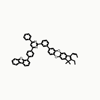 C/C=C\C1=C(CC)C(C)(C)c2cc3c(cc21)Oc1cc(-c2cccc(-c4nc(-c5ccccc5)cc(-c5ccc(-c6cccc7c6oc6ccccc67)cc5)n4)c2)ccc1O3